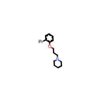 CC(C)c1ccccc1OCCCN1CCCCC1